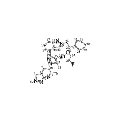 Cc1nc2nn(C)cc2cc1-n1nc(-c2cccc3nn(C[C@H](OCCF)c4ccccc4)cc23)c(C(C)C)c1C